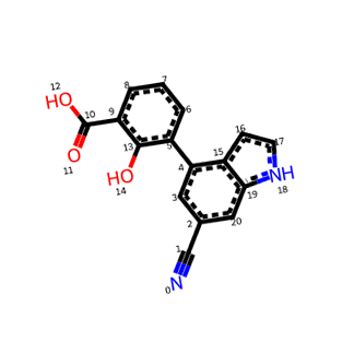 N#Cc1cc(-c2cccc(C(=O)O)c2O)c2cc[nH]c2c1